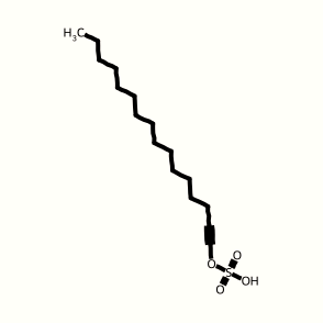 CCCCCCCCCCCCCCC#COS(=O)(=O)O